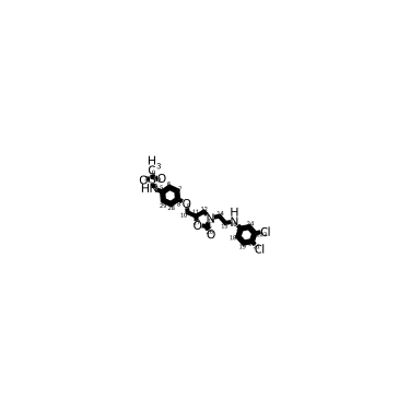 CS(=O)(=O)Nc1ccc(OCC2CN(CCNc3ccc(Cl)c(Cl)c3)C(=O)O2)cc1